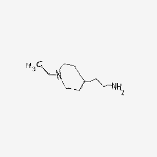 CCN1CCC(CCN)CC1